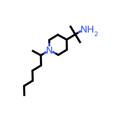 CCCCCC(C)N1CCC(C(C)(C)N)CC1